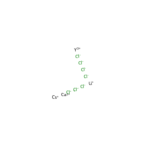 [Ca+2].[Cl-].[Cl-].[Cl-].[Cl-].[Cl-].[Cl-].[Cl-].[Cs+].[Li+].[Y+3]